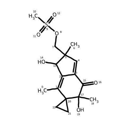 CC1=C2C(=CC(C)(COS(C)(=O)=O)C2O)C(=O)C(C)(O)C12CC2